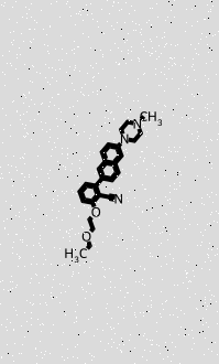 CCOCCOc1cccc(-c2ccc3cc(N4CCN(C)CC4)ccc3c2)c1C#N